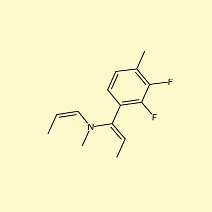 C/C=C\N(C)/C(=C\C)c1ccc(C)c(F)c1F